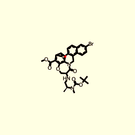 COC(=O)c1cccc2c1OCC(NC[C@H](C)N(C)C(=O)OC(C)(C)C)C(=O)N2Cc1c(OC)ccc2cc(Br)ccc12